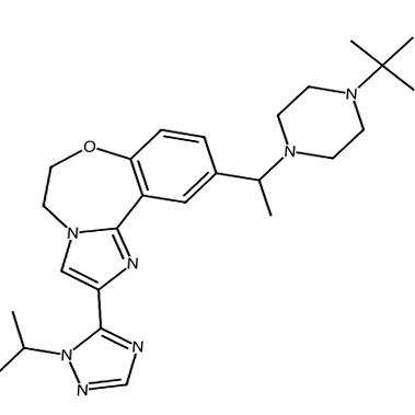 CC(c1ccc2c(c1)-c1nc(-c3ncnn3C(C)C)cn1CCO2)N1CCN(C(C)(C)C)CC1